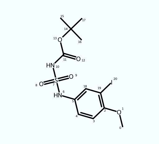 COc1ccc(NS(=O)(=O)NC(=O)OC(C)(C)C)cc1I